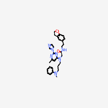 Cc1cc(N(CCCN(C)c2ccccc2)CC(=O)NCCc2ccc3c(c2)CCO3)nc(-n2ccnc2)n1